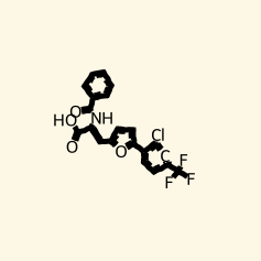 O=C(O)/C(=C/c1ccc(-c2ccc(C(F)(F)F)cc2Cl)o1)NC(=O)c1ccccc1